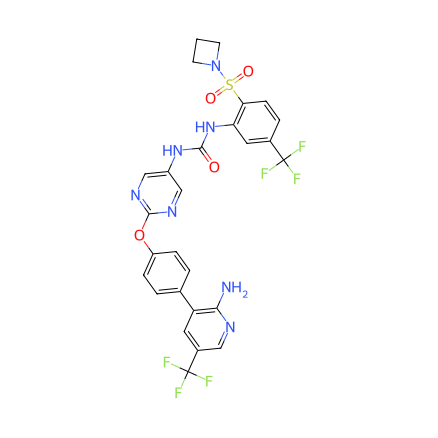 Nc1ncc(C(F)(F)F)cc1-c1ccc(Oc2ncc(NC(=O)Nc3cc(C(F)(F)F)ccc3S(=O)(=O)N3CCC3)cn2)cc1